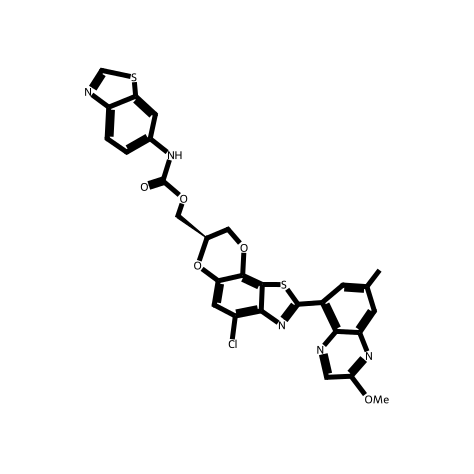 COc1cnc2c(-c3nc4c(Cl)cc5c(c4s3)OC[C@H](COC(=O)Nc3ccc4ncsc4c3)O5)cc(C)cc2n1